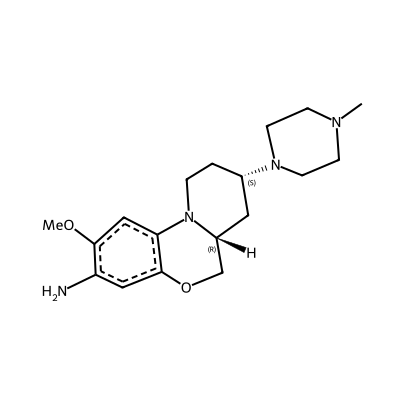 COc1cc2c(cc1N)OC[C@H]1C[C@@H](N3CCN(C)CC3)CCN21